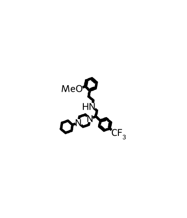 COc1ccccc1CCNCC(c1ccc(C(F)(F)F)cc1)N1CCN(C2CCCCC2)CC1